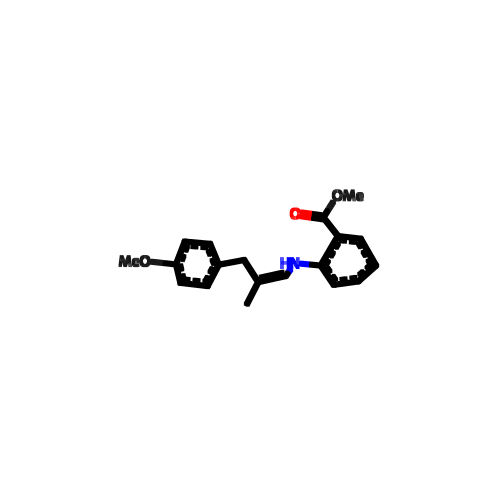 COC(=O)c1ccccc1NC=C(C)Cc1ccc(OC)cc1